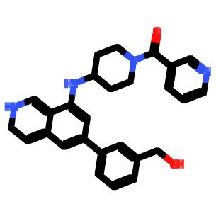 O=C(c1cccnc1)N1CCC(Nc2cc(-c3cccc(CO)c3)cc3c2=CNCC=3)CC1